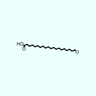 O=[C]CCCCCCCCCCCCCCCCCCC(=O)O